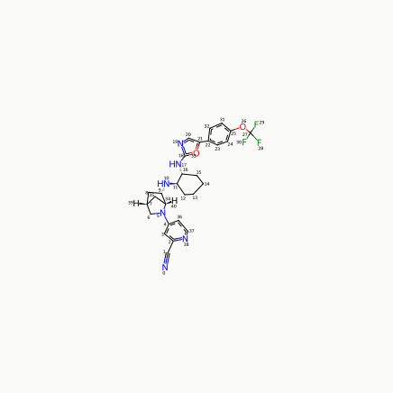 N#Cc1cc(N2C[C@@H]3C[C@H](N[C@@H]4CCCC[C@H]4Nc4ncc(-c5ccc(OC(F)(F)F)cc5)o4)[C@H]2C3)ccn1